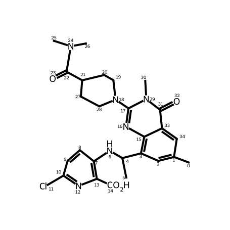 Cc1cc(C(C)Nc2ccc(Cl)nc2C(=O)O)c2nc(N3CCC(C(=O)N(C)C)CC3)n(C)c(=O)c2c1